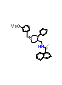 COc1cccc(CN2CCC(CN[C@H](C)c3cccc4ccccc34)C(c3ccccc3)C2)c1